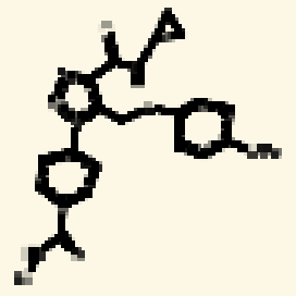 CCNC(=O)c1ccc(-n2nnc(C(=O)NC3CC3)c2COc2ccc(OC)cc2)cc1